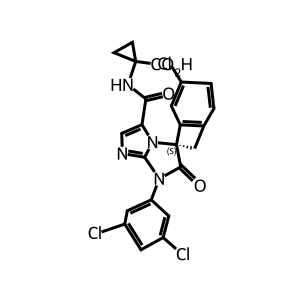 O=C(NC1(C(=O)O)CC1)c1cnc2n1[C@]1(Cc3ccc(Cl)cc31)C(=O)N2c1cc(Cl)cc(Cl)c1